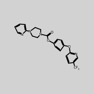 O=C(Oc1ccc(Oc2ccc(C(F)(F)F)cn2)cc1)N1CCN(c2ccccn2)CC1